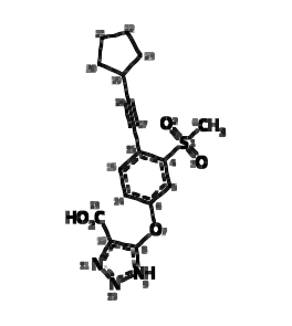 CS(=O)(=O)c1cc(Oc2[nH]nnc2C(=O)O)ccc1C#CC1CCCC1